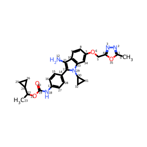 Cc1nnc(COc2ccc3c(N)c(-c4ccc(NC(=O)OC(C)C5CC5)cc4)n(C4CC4)c3c2)o1